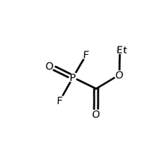 CCOC(=O)P(=O)(F)F